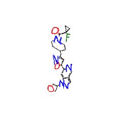 O=C(N1CCC(c2cc(-c3cc4c(cn3)cnn4C3COC3)on2)CC1)C1(F)CC1